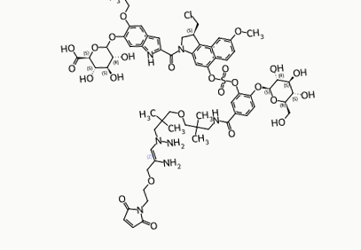 CCOc1cc2cc(C(=O)N3C[C@@H](CCl)c4c3cc(OS(=O)(=O)Oc3cc(C(=O)NCC(C)(C)COCC(C)(C)CN(N)/C=C(\N)COCCN5C(=O)C=CC5=O)ccc3O[C@@H]3O[C@H](CO)[C@@H](O)[C@H](O)[C@H]3O)c3ccc(OC)cc43)[nH]c2cc1OC1O[C@H](C(=O)O)[C@@H](O)[C@H](O)[C@H]1O